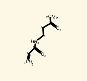 C=CC(=O)NCCC(=O)OC